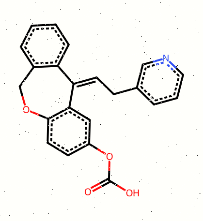 O=C(O)Oc1ccc2c(c1)C(=CCc1cccnc1)c1ccccc1CO2